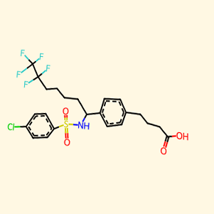 O=C(O)CCCc1ccc(C(CCCCC(F)(F)C(F)(F)F)NS(=O)(=O)c2ccc(Cl)cc2)cc1